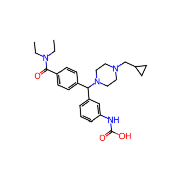 CCN(CC)C(=O)c1ccc(C(c2cccc(NC(=O)O)c2)N2CCN(CC3CC3)CC2)cc1